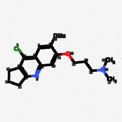 COc1cc2c(Cl)c3c(nc2cc1OCCCN(C)C)CCC3